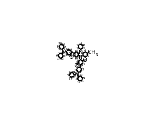 Cc1cc2c3c(c1)N(c1ccccc1)c1cc4c(cc1B3c1cc3oc5cc(N(c6ccccc6)c6ccccc6)ccc5c3cc1O2)oc1cc(N(c2ccccc2)c2ccccc2)ccc14